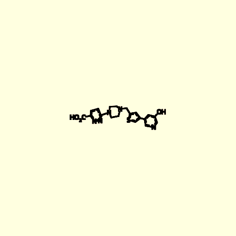 O=C(O)c1ccc(N2CCN(Cc3cc(-c4cncc(O)c4)cs3)CC2)nn1